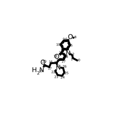 CCCn1c2cc(OC)ccc2c2oc(C(CCC(N)=O)N3CCCCC3)cc21